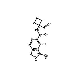 Cc1c(C(=O)NC2(C=O)CCC2)ccc2c1B(O)OC2